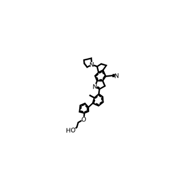 Cc1c(C2=Nc3cc4c(c(C#N)c3C2)CCC4N2CCCC2)cccc1-c1cccc(OCCO)c1